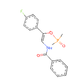 CP(C)(=O)OC(=CNC(=O)c1ccccc1)c1ccc(F)cc1